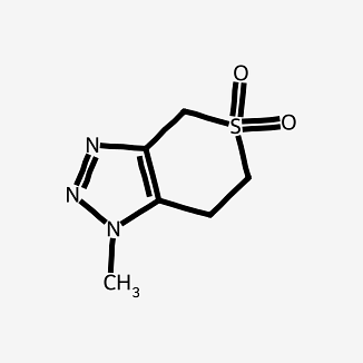 Cn1nnc2c1CCS(=O)(=O)C2